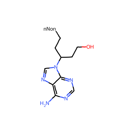 CCCCCCCCCCCC(CCO)n1cnc2c(N)ncnc21